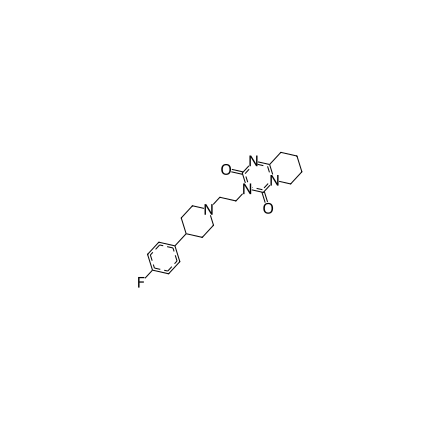 O=c1nc2n(c(=O)n1CCN1CCC(c3ccc(F)cc3)CC1)CCCC2